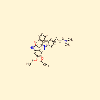 CCOc1cc2c(cc1OCC)/C(=C(\Nc1ccc(CCCN(C)C)cc1)c1ccccc1)C(=O)N2